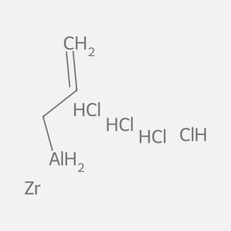 C=C[CH2][AlH2].Cl.Cl.Cl.Cl.[Zr]